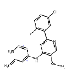 C=C/C=C(\C=C/N)Nc1nc(-c2cc(Cl)ccc2F)ncc1OC